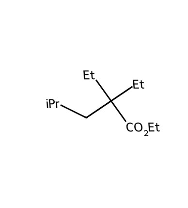 CCOC(=O)C(CC)(CC)CC(C)C